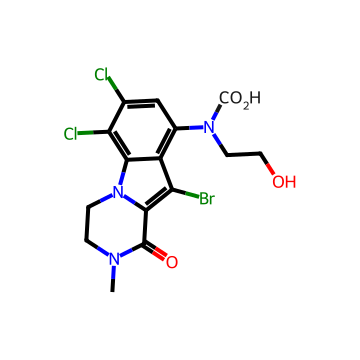 CN1CCn2c(c(Br)c3c(N(CCO)C(=O)O)cc(Cl)c(Cl)c32)C1=O